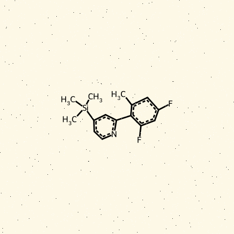 Cc1cc(F)cc(F)c1-c1cc([Si](C)(C)C)ccn1